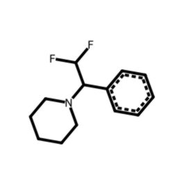 FC(F)C(c1ccccc1)N1CCCCC1